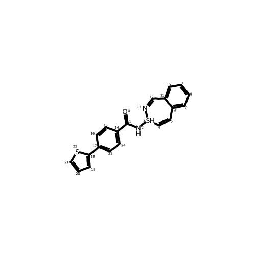 O=C(N[SH]1C=Cc2ccccc2C=N1)c1ccc(-c2cccs2)cc1